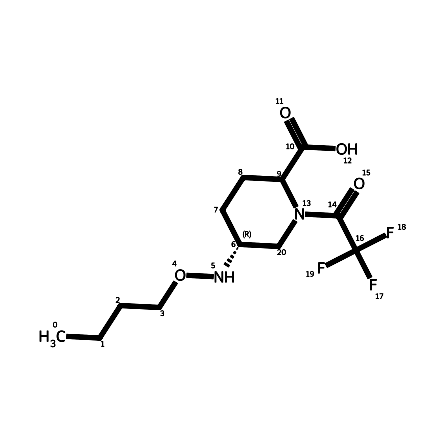 CCCCON[C@@H]1CCC(C(=O)O)N(C(=O)C(F)(F)F)C1